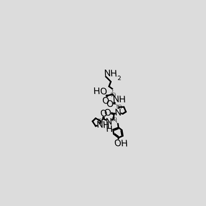 NCCCC[C@H](NC(=O)[C@@H]1CCCN1C(=O)[C@H](Cc1ccc(O)cc1)NC(=O)[C@@H]1CCCN1)C(=O)O